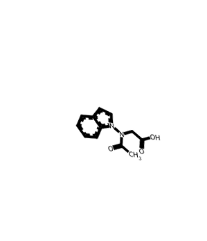 CC(=O)N(CC(=O)O)n1ccc2ccccc21